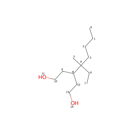 CCCCC(C)(CC)C(CCO)CCO